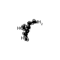 CC(=O)NCC1CN(c2ccc(-c3ccc(C4=NO[C@H](COC(=O)CN)C4)nc3)c(F)c2)C(=O)O1.O=C(O)C(F)(F)F